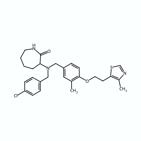 Cc1cc(CN(Cc2ccc(Cl)cc2)C2CCCCNC2=O)ccc1OCCc1scnc1C